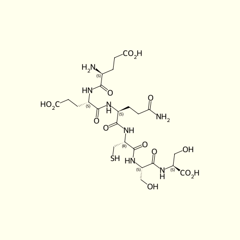 NC(=O)CC[C@H](NC(=O)[C@H](CCC(=O)O)NC(=O)[C@@H](N)CCC(=O)O)C(=O)N[C@@H](CS)C(=O)N[C@@H](CO)C(=O)N[C@@H](CO)C(=O)O